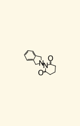 O=C1CCCC(=O)N1N1Cc2ccccc2C1